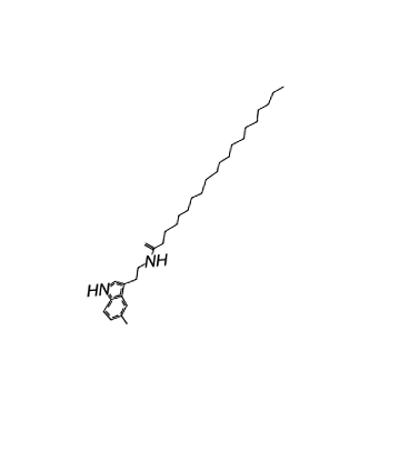 C=C(CCCCCCCCCCCCCCCCCCC)NCCc1c[nH]c2ccc(C)cc12